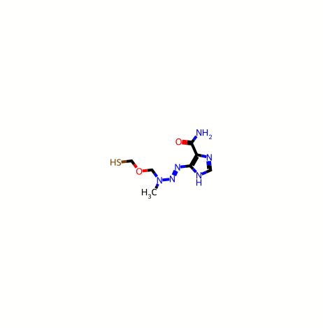 CN(COCS)/N=N/c1[nH]cnc1C(N)=O